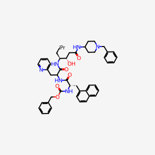 CC(C)C[C@H](NC(=O)C(Cc1ccccn1)NC(=O)[C@H](Cc1cccc2ccccc12)NC(=O)OCc1ccccc1)[C@@H](O)CC(=O)NC1CCN(Cc2ccccc2)CC1